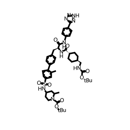 Cc1cc(S(=O)(=O)NC2CCN(C(=O)OC(C)(C)C)C(C)C2)ccc1-c1ccc(C[C@H](NC(=O)[C@H]2CC[C@H](CNC(=O)OC(C)(C)C)CC2)C(=O)Nc2ccc(-c3nn[nH]n3)cc2)cc1